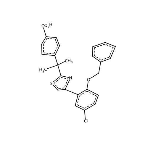 CC(C)(c1ccc(C(=O)O)cc1)c1nc(-c2cc(Cl)ccc2OCc2ccccc2)cs1